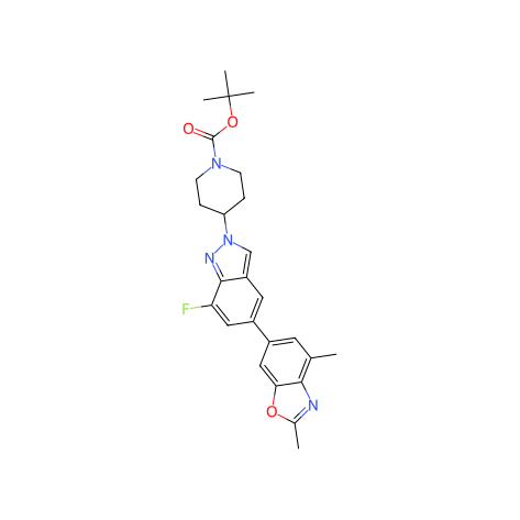 Cc1nc2c(C)cc(-c3cc(F)c4nn(C5CCN(C(=O)OC(C)(C)C)CC5)cc4c3)cc2o1